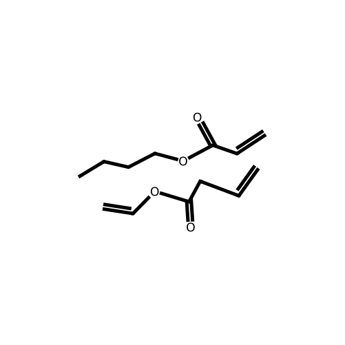 C=CC(=O)OCCCC.C=CCC(=O)OC=C